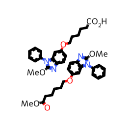 COC(=O)CCCCCOc1ccc2nc(OC)n(-c3ccccc3)c2c1.COc1nc2ccc(OCCCCCC(=O)O)cc2n1-c1ccccc1